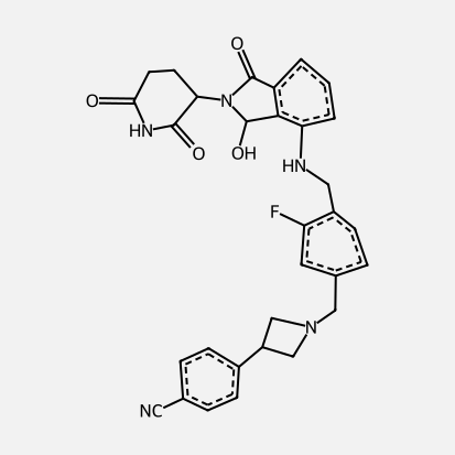 N#Cc1ccc(C2CN(Cc3ccc(CNc4cccc5c4C(O)N(C4CCC(=O)NC4=O)C5=O)c(F)c3)C2)cc1